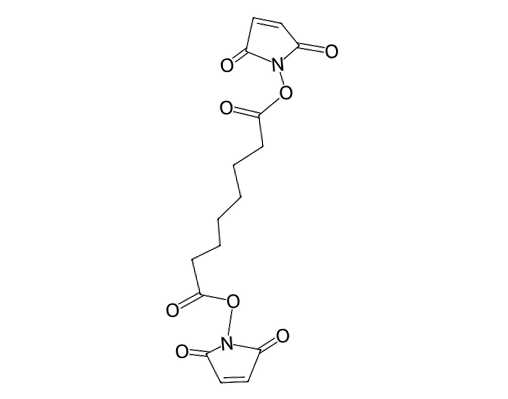 O=C(CCCCCCC(=O)ON1C(=O)C=CC1=O)ON1C(=O)C=CC1=O